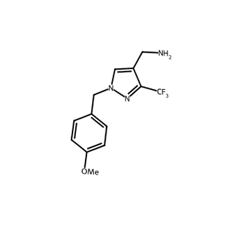 COc1ccc(Cn2cc(CN)c(C(F)(F)F)n2)cc1